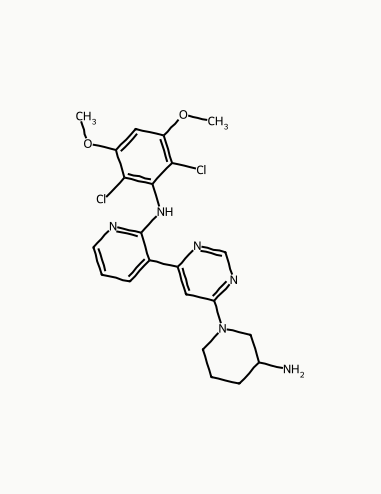 COc1cc(OC)c(Cl)c(Nc2ncccc2-c2cc(N3CCCC(N)C3)ncn2)c1Cl